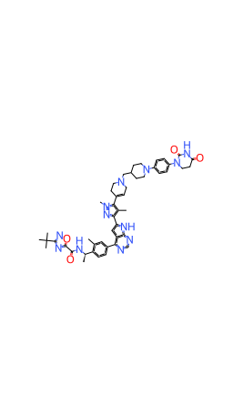 Cc1cc(-c2ncnc3[nH]c(-c4nn(C)c(C5=CCN(CC6CCN(c7ccc(N8CCC(=O)NC8=O)cc7)CC6)CC5)c4C)cc23)ccc1[C@@H](C)NC(=O)c1nc(C(C)(C)C)no1